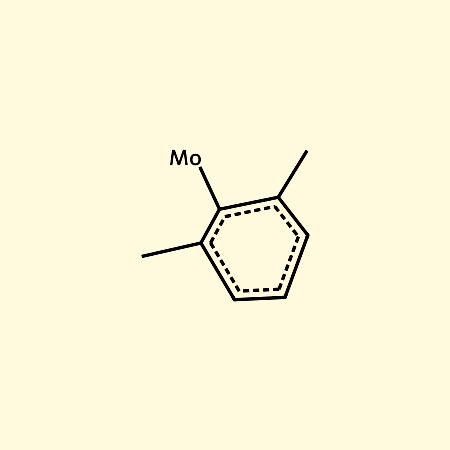 Cc1cccc(C)[c]1[Mo]